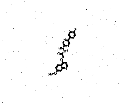 COc1ccc2c(OCC(=O)NNc3ncc(-c4ccc(F)cc4)nn3)ccnc2c1